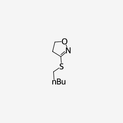 CCCCCSC1=NOCC1